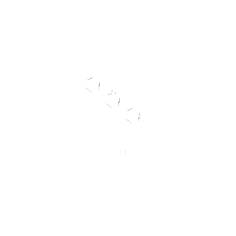 Cc1ccccc1-c1ccc(-c2ccc(CC3CCC(C)C3)cc2)cn1